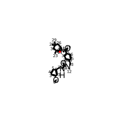 COc1cccc(CNC(=O)N(C)Cc2ccc(C(=O)N3CC4(C)CC3CC(C)(C)C4)cc2)c1